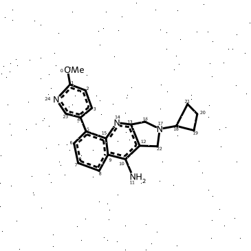 COc1ccc(-c2cccc3c(N)c4c(nc23)CN(C2CCC2)C4)cn1